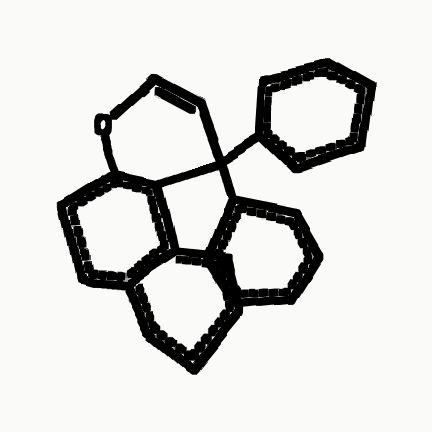 C1=CC(c2ccccc2)(c2ccccc2)c2c(ccc3ccccc23)O1